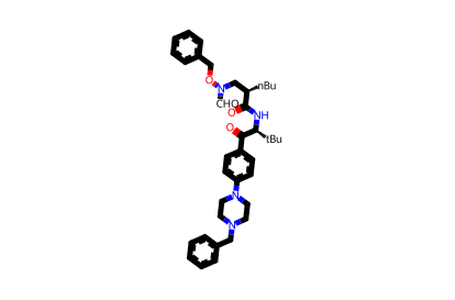 CCCC[C@H](CN(C=O)OCc1ccccc1)C(=O)N[C@H](C(=O)c1ccc(N2CCN(Cc3ccccc3)CC2)cc1)C(C)(C)C